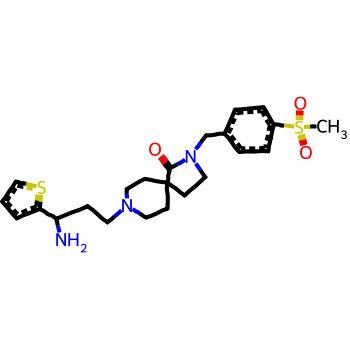 CS(=O)(=O)c1ccc(CN2CCC3(CCN(CCC(N)c4cccs4)CC3)C2=O)cc1